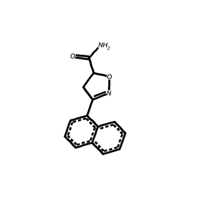 NC(=O)C1CC(c2cccc3ccccc23)=NO1